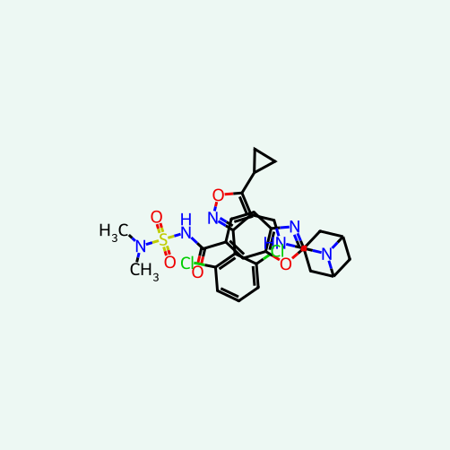 CN(C)S(=O)(=O)NC(=O)c1ccc2nc(N3C4CC(NCc5c(-c6c(Cl)cccc6Cl)noc5C5CC5)CC3C4)oc2c1